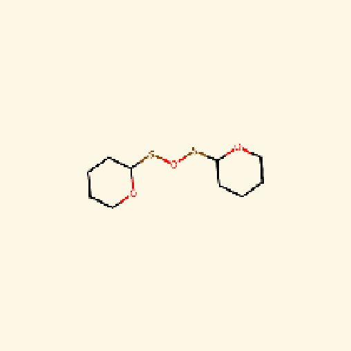 C1CCC(SOSC2CCCCO2)OC1